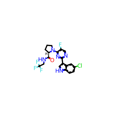 O=C(NCC(F)(F)F)[C@H]1CCCN1c1nc(-c2c[nH]c3ccc(Cl)cc23)ncc1F